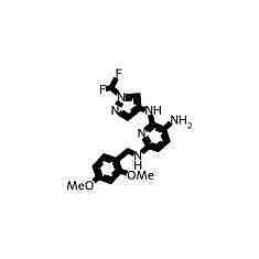 COc1ccc(CNc2ccc(N)c(Nc3cnn(C(F)F)c3)n2)c(OC)c1